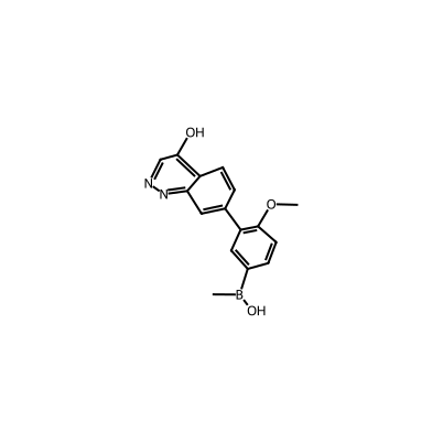 COc1ccc(B(C)O)cc1-c1ccc2c(O)cnnc2c1